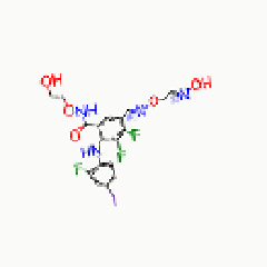 O=C(NOCCO)c1cc(/C=N/OC/C=N/O)c(F)c(F)c1Nc1ccc(I)cc1F